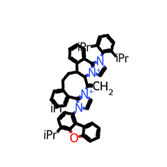 C=C1C2C(CCc3ccccc3-c3n(-c4c(C(C)C)cc(C(C)C)c5oc6ccccc6c45)cc[n+]31)c1ccccc1-c1n(-c3c(C(C)C)cccc3C(C)C)cc[n+]12